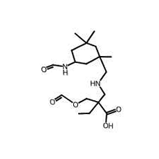 CCC(CNCC1(C)CC(NC=O)CC(C)(C)C1)(COC=O)C(=O)O